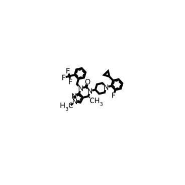 C[C@@H]1c2cn(C)nc2N(Cc2ccccc2C(F)(F)F)C(=O)N1C1CCN(c2c(F)cccc2C2CC2)CC1